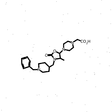 CC1C(N2CCN(CC(=O)O)CC2)OC(=O)N1CC1CCN(Cc2ccccc2)CC1